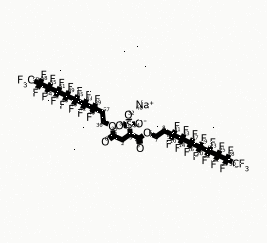 O=C(CC(C(=O)OCCC(F)(F)C(F)(F)C(F)(F)C(F)(F)C(F)(F)C(F)(F)C(F)(F)C(F)(F)F)S(=O)(=O)[O-])OCCC(F)(F)C(F)(F)C(F)(F)C(F)(F)C(F)(F)C(F)(F)C(F)(F)C(F)(F)F.[Na+]